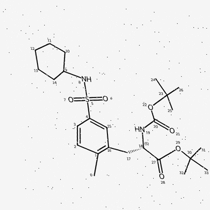 Cc1ccc(S(=O)(=O)NC2CCCCC2)cc1C[C@H](NC(=O)OC(C)(C)C)C(=O)OC(C)(C)C